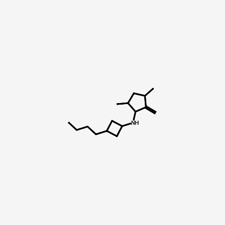 C=C1C(C)CC(C)C1NC1CC(CCCC)C1